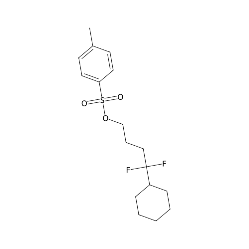 Cc1ccc(S(=O)(=O)OCCCC(F)(F)C2CCCCC2)cc1